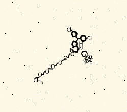 CCCOCCOCCOCCOCCOCCOc1cc(NC2CCN(S(=O)(=O)C(F)(F)F)CC2)c2cc(C(c3ccc(Cl)cc3)c3ccc(Cl)cc3)ccc2n1